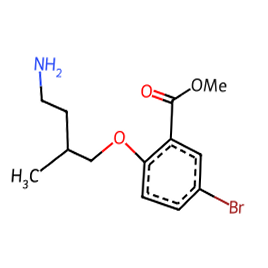 COC(=O)c1cc(Br)ccc1OCC(C)CCN